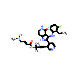 CCc1c(F)cccc1Nc1c(-c2ccncc2C#CC(C)(C)NC(=O)/C=C/CN(C)C)[nH]c2c1C(=O)NCC2